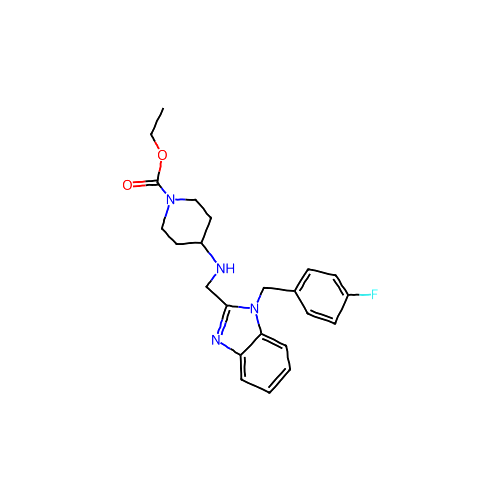 CCOC(=O)N1CCC(NCc2nc3ccccc3n2Cc2ccc(F)cc2)CC1